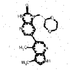 Cc1c[nH]c2ncc(-c3cnc4[nH]c(=O)n(C[C@H]5COCCO5)c4c3)c(C)c12